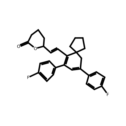 O=C1CCCC(C=CC2=C(c3ccc(F)cc3)C=C(c3ccc(F)cc3)CC23CCCC3)O1